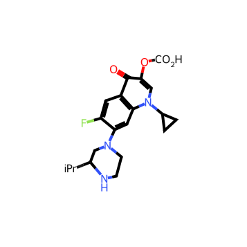 CC(C)C1CN(c2cc3c(cc2F)c(=O)c(OC(=O)O)cn3C2CC2)CCN1